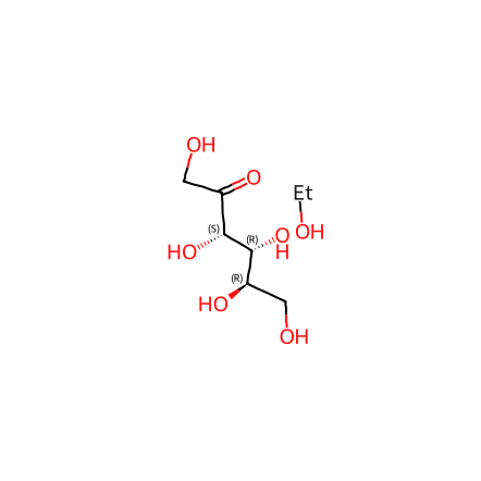 CCO.O=C(CO)[C@@H](O)[C@H](O)[C@H](O)CO